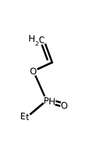 C=CO[PH](=O)CC